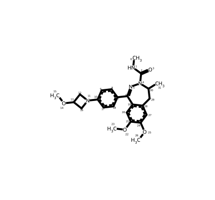 CNC(=O)N1N=C(c2ccc(N3CC(OC)C3)cc2)c2cc(OC)c(OC)cc2CC1C